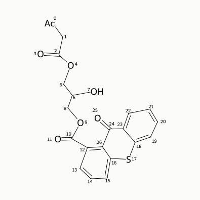 CC(=O)CC(=O)OCC(O)COC(=O)c1cccc2sc3ccccc3c(=O)c12